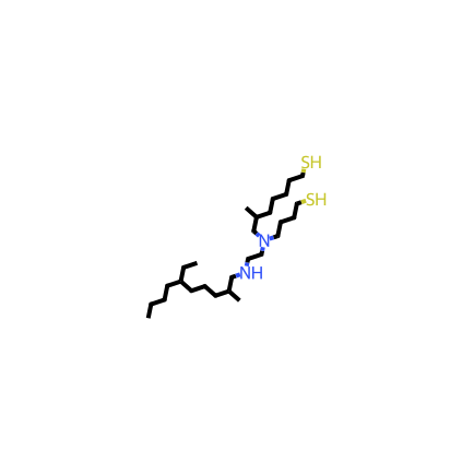 CCCCC(CC)CCCC(C)CNCCN(CCCCS)CC(C)CCCCCS